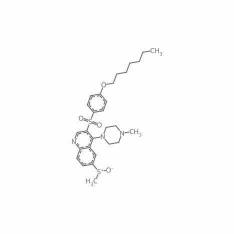 CCCCCCCOc1ccc(S(=O)(=O)c2cnc3ccc([S+](C)[O-])cc3c2N2CCN(C)CC2)cc1